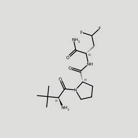 CC(C)(C)[C@H](N)C(=O)N1CCC[C@H]1C(=O)N[C@@H](CC(F)F)C(N)=O